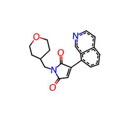 O=C1C=C(c2cccc3ccncc23)C(=O)N1CC1CCOCC1